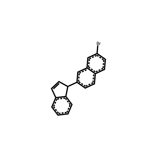 Brc1ccc2ccc(C3C=Cc4ccccc43)cc2c1